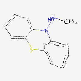 CNN1c2ccccc2Sc2ccccc21